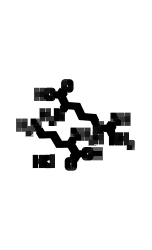 Cl.N=C(N)NCCCC(N)C(=O)O.NCCCC(N)C(=O)O